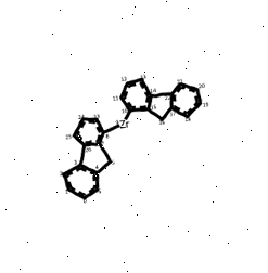 c1ccc2c(c1)Cc1[c]([Zr][c]3cccc4c3Cc3ccccc3-4)cccc1-2